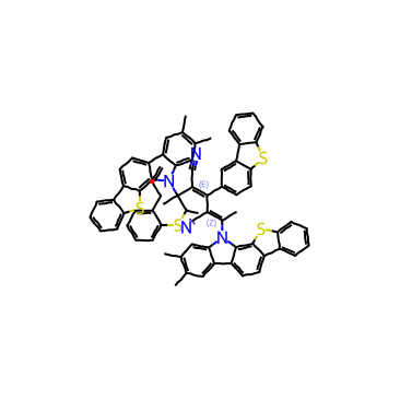 C=CCc1ccccc1SC(C)C(C)(/C(C#N)=C(\C(C#N)=C(/C)n1c2cc(C)c(C)cc2c2ccc3c4ccccc4sc3c21)c1ccc2sc3ccccc3c2c1)n1c2cc(C)c(C)cc2c2ccc3c4ccccc4sc3c21